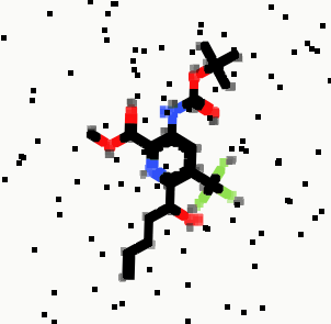 C=CCCC(O)c1nc(C(=O)OC)c(NC(=O)OC(C)(C)C)cc1C(F)(F)F